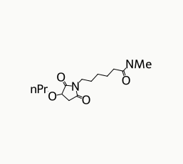 CCCOC1CC(=O)N(CCCCCC(=O)NC)C1=O